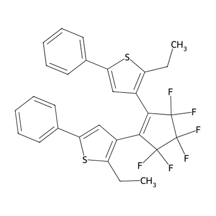 CCc1sc(-c2ccccc2)cc1C1=C(c2cc(-c3ccccc3)sc2CC)C(F)(F)C(F)(F)C1(F)F